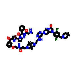 CNCC(=O)N[C@H](C(=O)N1CCC[C@H]1c1nc(C(=O)c2cccc(OCCNC(=O)CCN3C[C@H]4CN(CCNc5cc(N6CCC7(CC6)CN(c6cc(F)c(CN8CCC(C)(C)CC8)cc6F)CC(=O)N7)ncn5)C[C@H]4C3)c2)cs1)C1CCCCC1